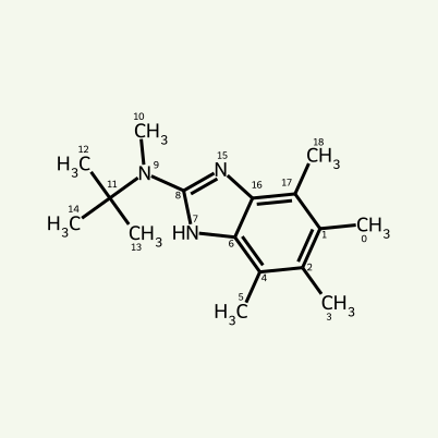 Cc1c(C)c(C)c2[nH]c(N(C)C(C)(C)C)nc2c1C